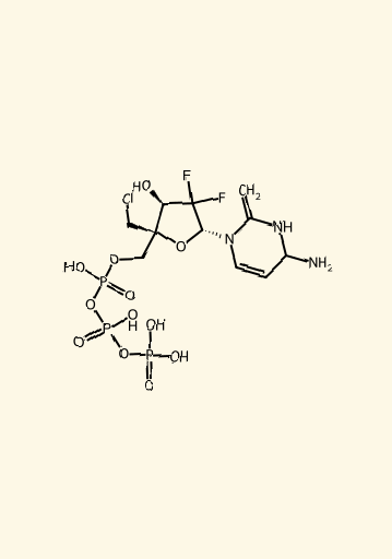 C=C1NC(N)C=CN1[C@@H]1O[C@](CCl)(COP(=O)(O)OP(=O)(O)OP(=O)(O)O)[C@@H](O)C1(F)F